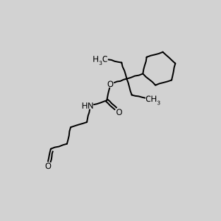 CCC(CC)(OC(=O)NCCCC=O)C1CCCCC1